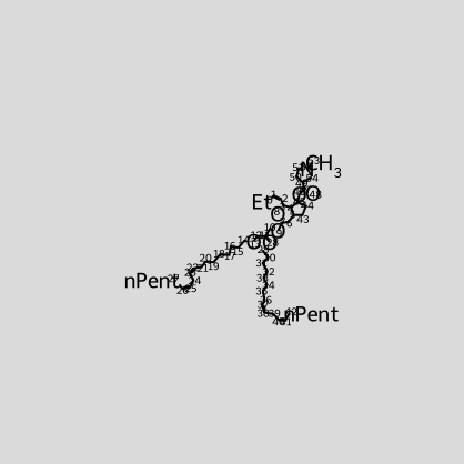 CC/C=C\CC1C(CC(=O)OCC(COCCCCCCCC/C=C\C/C=C\CCCCC)OCCCCCCCC/C=C\C/C=C\CCCCC)CCC1OC(=O)C1CCN(C)C1